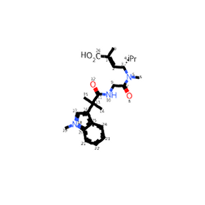 C/C(=C\[C@H](C(C)C)N(C)C(=O)CNC(=O)C(C)(C)c1cn(C)c2ccccc12)C(=O)O